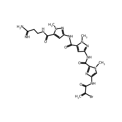 C=C(Br)C(=O)Nc1cn(C)c(C(=O)Nc2cc(C(=O)Nc3cc(C(=O)NCCC(=N)N)n(C)n3)n(C)n2)n1